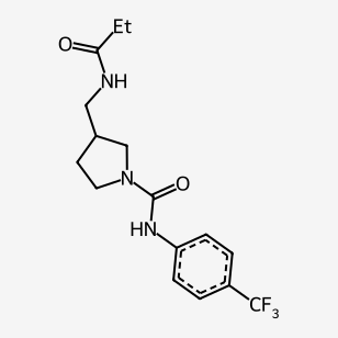 CCC(=O)NCC1CCN(C(=O)Nc2ccc(C(F)(F)F)cc2)C1